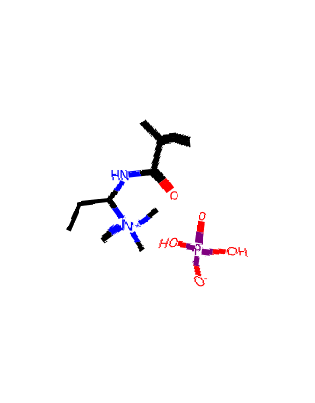 C=C(C)C(=O)NC(CC)[N+](C)(C)C.O=P([O-])(O)O